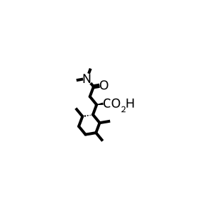 CC1CCC(C)[C@H]([C@@H](CC(=O)N(C)C)C(=O)O)C1C